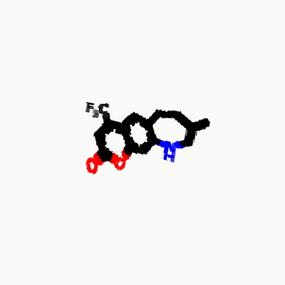 CC1CCc2cc3c(C(F)(F)F)cc(=O)oc3cc2NC1